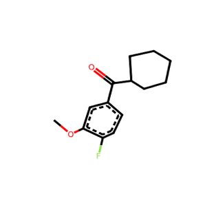 COc1cc(C(=O)C2CCCCC2)ccc1F